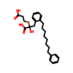 O=C(O)CCSC(O)(Cc1ccccc1CCCCCCCCc1ccccc1)C(=O)O